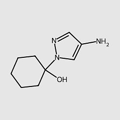 Nc1cnn(C2(O)CCCCC2)c1